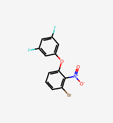 O=[N+]([O-])c1c(Br)cccc1Oc1cc(F)cc(F)c1